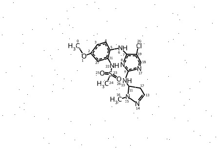 COc1ccc(Nc2nc(NC3CC=NN3C)ncc2Cl)c(NS(C)(=O)=O)c1